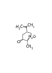 C=C(C)C1CC=C(C)C(=O)C1.O